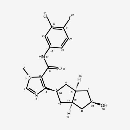 Cn1cnc([C@H]2C[C@H]3C[C@@H](O)C[C@H]3C2)c1C(=O)Nc1ccc(F)c(Cl)c1